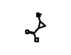 O=C(Cl)C1CC1Br